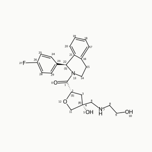 O=C([C@@H]1C[C@@](O)(CNCCO)CO1)N1CCc2ccccc2[C@@H]1c1ccc(F)cc1